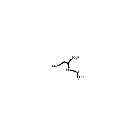 COCC(NNC=O)S(=O)(=O)O